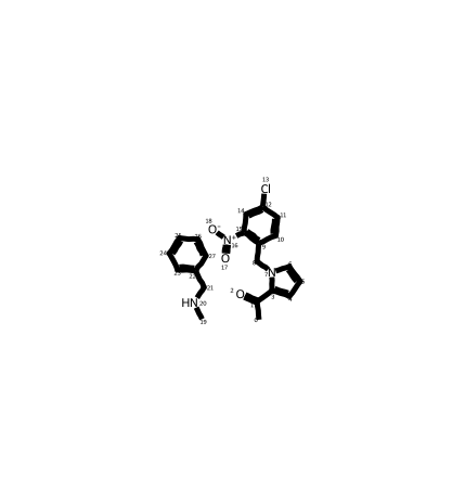 CC(=O)c1cccn1Cc1ccc(Cl)cc1[N+](=O)[O-].CNCc1ccccc1